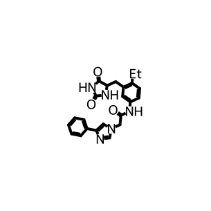 CCc1ccc(NC(=O)Cn2cnc(-c3ccccc3)c2)cc1CC1NC(=O)NC1=O